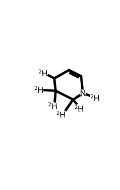 [2H]C1C=CN([2H])C([2H])([2H])C1([2H])[2H]